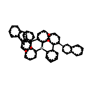 c1ccc(-c2ccccc2N(c2ccccc2-c2cccc3c2sc2ccccc23)c2cccc3sc4ccccc4c23)c(-c2ccc3ccccc3c2)c1